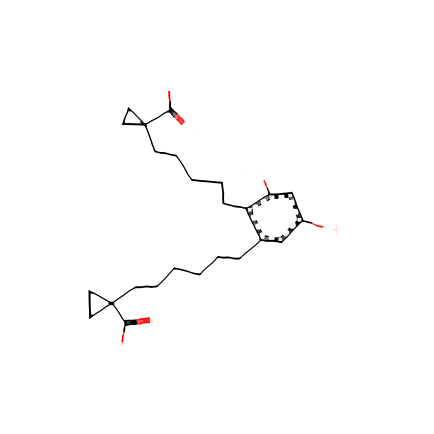 O=C(O)C1(CCCCCCc2cc(O)cc(O)c2CCCCCC2(C(=O)O)CC2)CC1